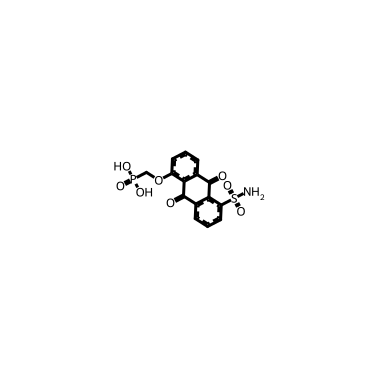 NS(=O)(=O)c1cccc2c1C(=O)c1cccc(OCP(=O)(O)O)c1C2=O